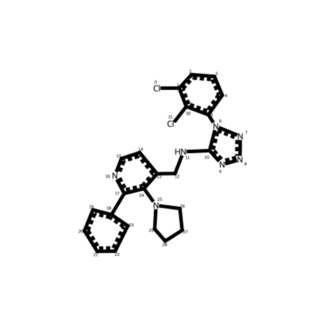 Clc1cccc(-n2nnnc2NCc2ccnc(-c3ccccc3)c2N2CCCC2)c1Cl